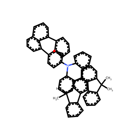 CC1(C)c2ccccc2-c2ccc(-c3ccccc3N(c3ccc(-c4cccc5cccc(-c6ccccc6)c45)cc3)c3ccccc3-c3cccc4c3-c3ccccc3C4(C)C)cc21